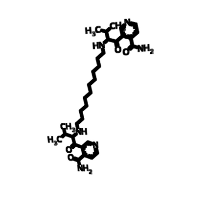 CC(C)C(NCCCCCCCCCCCCNC(C(=O)c1cnccc1C(N)=O)C(C)C)C(=O)c1cnccc1C(N)=O